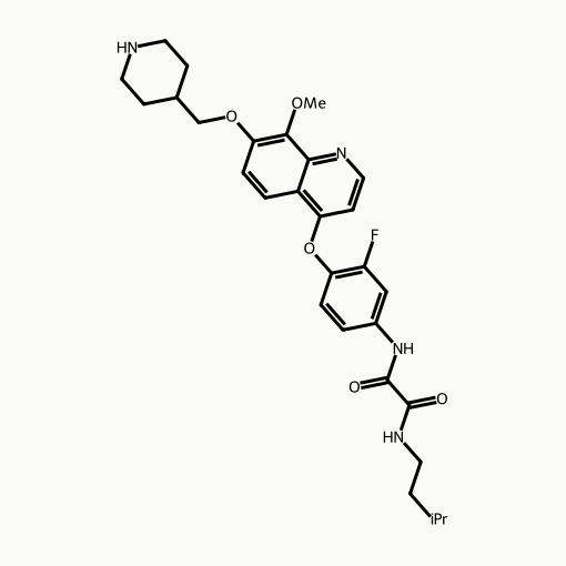 COc1c(OCC2CCNCC2)ccc2c(Oc3ccc(NC(=O)C(=O)NCCC(C)C)cc3F)ccnc12